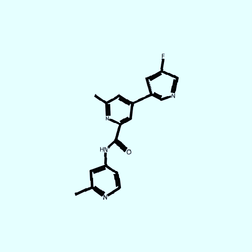 Cc1cc(NC(=O)c2cc(-c3cncc(F)c3)cc(C)n2)ccn1